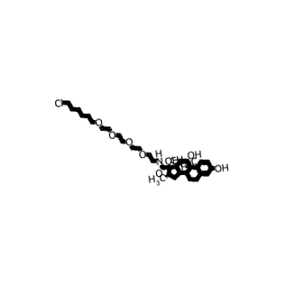 C[C@@H]1CC2C3CCC4=CC(O)C=C[C@]4(C)[C@@]3(F)[C@@H](O)C[C@]2(C)[C@@]1(O)C(=O)NCCOCCOCCOCCOCCCCCCCl